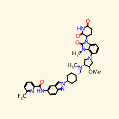 CO[C@@H]1CN(c2cccc3c2n(C)c(=O)n3C2CCC(=O)NC2=O)C[C@H]1N(C)C[C@H]1CC[C@H](n2cc3cc(NC(=O)c4cccc(C(F)(F)F)n4)ccc3n2)CC1